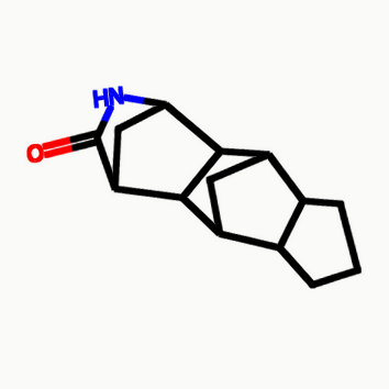 O=C1NC2CC1C1C3CC(C4CCCC43)C21